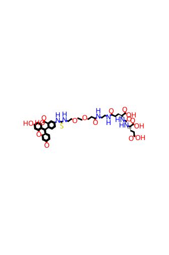 O=C(O)CC[C@H](NC(=O)N[C@@H](CCC(=O)NCCNC(=O)CCOCCOCCNC(=S)Nc1ccc(-c2c3ccc(=O)cc-3oc3cc(O)ccc23)c(C(=O)O)c1)C(=O)O)C(=O)O